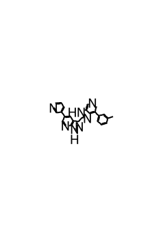 Cc1cccc(-c2cncc3[nH]c(-c4n[nH]c5ncc(-c6cccnc6)cc45)nc23)c1